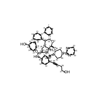 O=C1O[C@@H](c2ccccc2)C(c2ccccc2)N2[C@@H](c3ccc(O)cc3)[C@]3(C(=O)Nc4ccc(C#CCCO)cc43)[C@@H](C(=O)N3CCN(c4ncccn4)CC3)[C@H]12